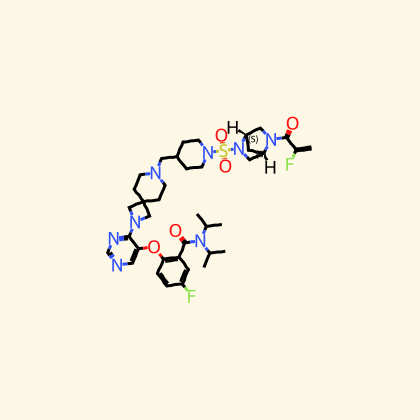 C=C(F)C(=O)N1C[C@@H]2C[C@H]1CN2S(=O)(=O)N1CCC(CN2CCC3(CC2)CN(c2ncncc2Oc2ccc(F)cc2C(=O)N(C(C)C)C(C)C)C3)CC1